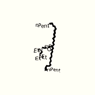 CCCCC/C=C\C/C=C\CCCCCCCCC(CCCCCCCC/C=C\C/C=C\CCCCC)OC(=O)OCCN(CC)CCN(CC)CC